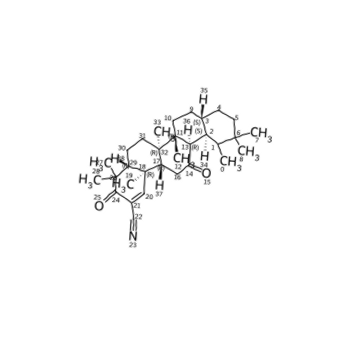 CC1[C@@H]2[C@@H](CCC1(C)C)CC[C@]1(C)[C@@H]2C(=O)C[C@@H]2[C@@]3(C)C=C(C#N)C(=O)C(C)(C)[C@@H]3CC[C@]21C